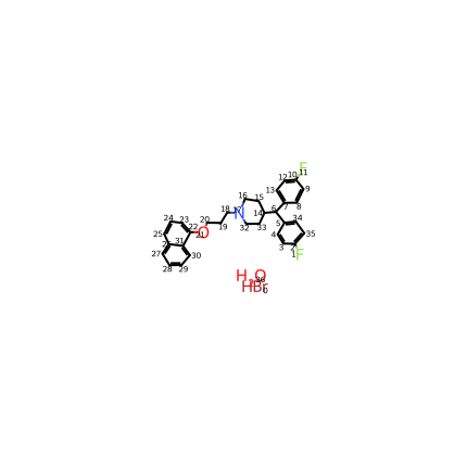 Br.Fc1ccc(C(c2ccc(F)cc2)C2CCN(CCCOc3cccc4ccccc34)CC2)cc1.O